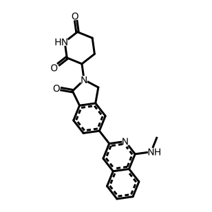 CNc1nc(-c2ccc3c(c2)CN(C2CCC(=O)NC2=O)C3=O)cc2ccccc12